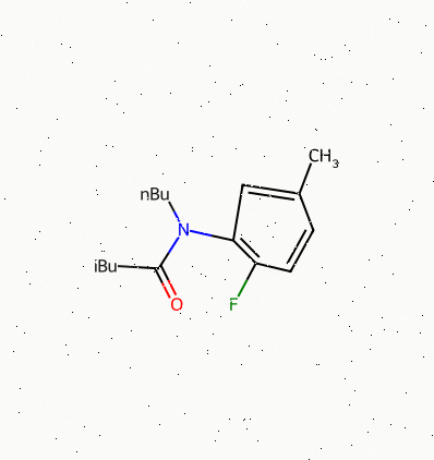 CCCCN(C(=O)C(C)CC)c1cc(C)ccc1F